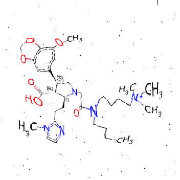 CCCCN(CCCC[N+](C)(C)C)C(=O)CN1C[C@H](c2cc(OC)c3c(c2)OCO3)[C@@H](C(=O)O)[C@@H]1CCc1nccn1C